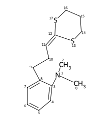 CN(C)c1ccccc1CCC=C1SCCCS1